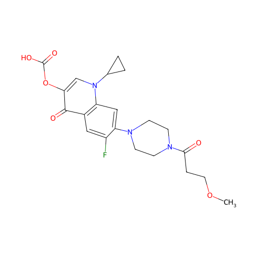 COCCC(=O)N1CCN(c2cc3c(cc2F)c(=O)c(OC(=O)O)cn3C2CC2)CC1